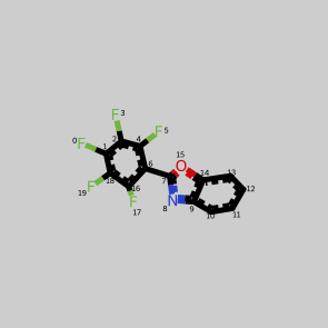 Fc1c(F)c(F)c(-c2nc3ccccc3o2)c(F)c1F